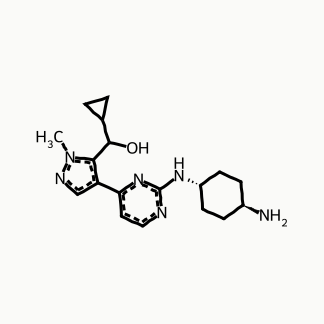 Cn1ncc(-c2ccnc(N[C@H]3CC[C@H](N)CC3)n2)c1C(O)C1CC1